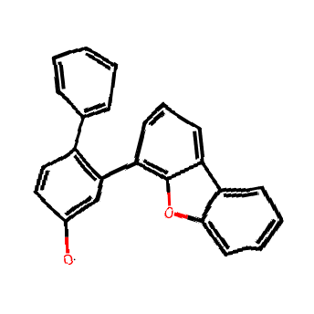 [O]c1ccc(-c2ccccc2)c(-c2cccc3c2oc2ccccc23)c1